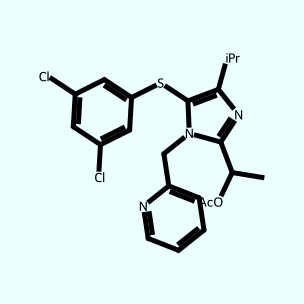 CC(=O)OC(C)c1nc(C(C)C)c(Sc2cc(Cl)cc(Cl)c2)n1Cc1ccccn1